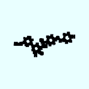 CNc1cncc(-c2c[nH]c(=O)c(NC(=O)c3ccc(OCC4CCNCC4)cc3)c2)n1